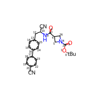 CC(C)(C)OC(=O)N1CC(C(=O)N[C@H](C#N)Cc2ccc(-c3ccc(C#N)cc3)cc2)C1